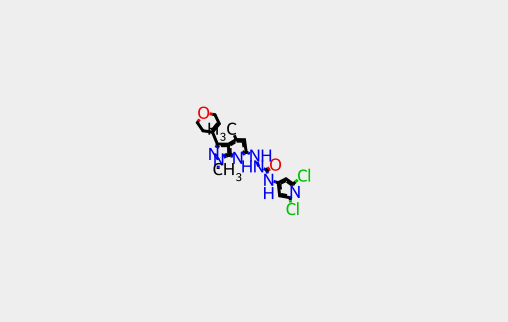 Cc1cc(NNC(=O)Nc2cc(Cl)nc(Cl)c2)nc2c1c(C1=CCOCC1)nn2C